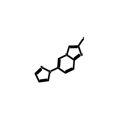 Ic1cn2cc(-n3cccn3)ccc2n1